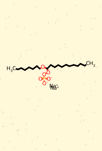 CCCCCCCCCCCC(OCCCCCCCC)OOP(=O)([O-])[O-].[Na+].[Na+]